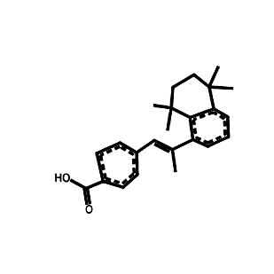 CC(=Cc1ccc(C(=O)O)cc1)c1cccc2c1C(C)(C)CCC2(C)C